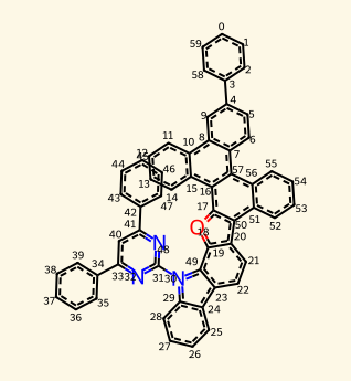 c1ccc(-c2ccc3c(c2)c2ccccc2c2c4oc5c(ccc6c7ccccc7n(-c7nc(-c8ccccc8)cc(-c8ccccc8)n7)c65)c4c4ccccc4c32)cc1